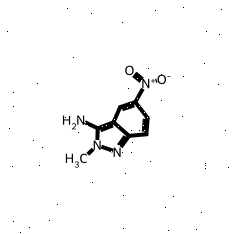 Cn1nc2ccc([N+](=O)[O-])cc2c1N